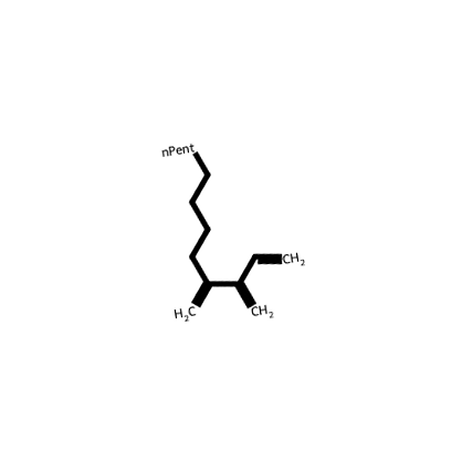 C=CC(=C)C(=C)CCCCCCCCC